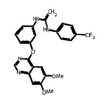 C=C(Nc1ccc(C(F)(F)F)cc1)Nc1cccc(Oc2ncnc3cc(OC)c(OC)cc23)c1